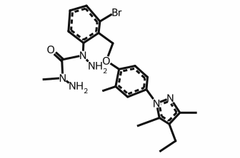 CCc1c(C)nn(-c2ccc(OCc3c(Br)cccc3N(N)C(=O)N(C)N)c(C)c2)c1C